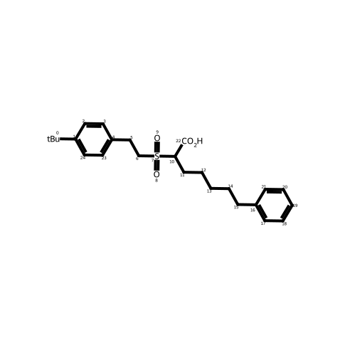 CC(C)(C)c1ccc(CCS(=O)(=O)C(CCCCCc2ccccc2)C(=O)O)cc1